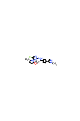 C[C@H](Nc1ncc(F)c(N2C(=O)CC[C@@H]2C)n1)c1ccc(-c2cnn(C)c2)cc1